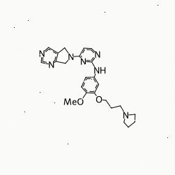 COc1ccc(Nc2nccc(N3Cc4cncnc4C3)n2)cc1OCCCN1CCCC1